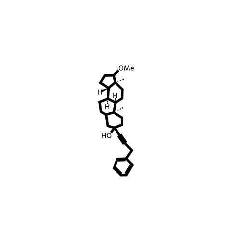 COC1CC[C@H]2[C@@H]3CCC4CC(O)(C#CCc5ccccc5)CC[C@]4(C)[C@@H]3CC[C@]12C